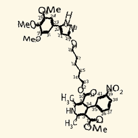 COC(=O)C1=C(C)NC(C)=C(C(=O)OCCCCCCOc2cc(-c3cc(OC)c(OC)c(OC)c3)[nH]n2)C1c1cccc([N+](=O)[O-])c1